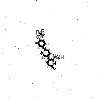 Cc1ccc(-c2ccc(-c3ccc(OC(F)(F)F)cc3)nc2)c(CO)n1